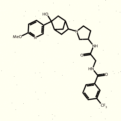 COc1ccc(C2(O)CC3CC2CC3N2CCC(NC(=O)CNC(=O)c3cccc(C(F)(F)F)c3)C2)cn1